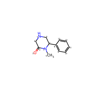 CN1C(=O)CNCC1c1ccccc1